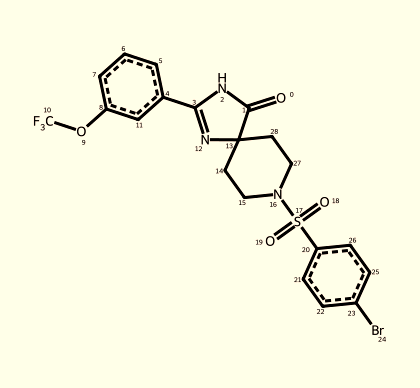 O=C1NC(c2cccc(OC(F)(F)F)c2)=NC12CCN(S(=O)(=O)c1ccc(Br)cc1)CC2